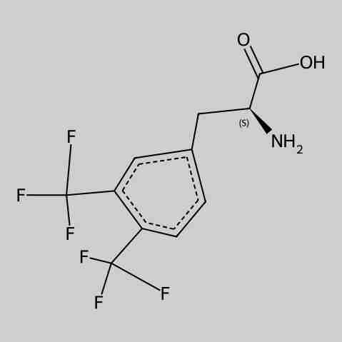 N[C@@H](Cc1ccc(C(F)(F)F)c(C(F)(F)F)c1)C(=O)O